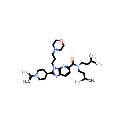 C=C(C)N1CCC(c2nc3ccc(C(=O)N(CCC(C)C)CCC(C)C)nc3n2CCCN2CCOCC2)CC1